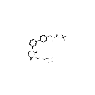 CC(C)(C)OC(=O)NCc1ccc(-c2cccc(N3CCC(=O)N(COCC[Si](C)(C)C)C3=O)c2)cc1